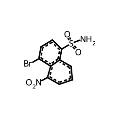 NS(=O)(=O)c1ccc(Br)c2c([N+](=O)[O-])cccc12